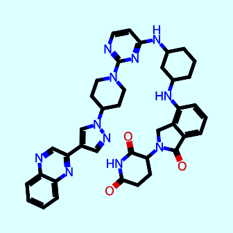 O=C1CCC(N2Cc3c(NC4CCCC(Nc5ccnc(N6CCC(n7cc(-c8cnc9ccccc9n8)cn7)CC6)n5)C4)cccc3C2=O)C(=O)N1